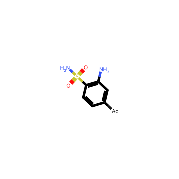 CC(=O)c1ccc(S(N)(=O)=O)c(N)c1